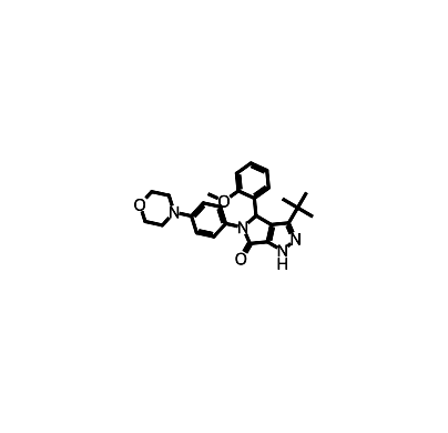 COc1ccccc1C1c2c(C(C)(C)C)n[nH]c2C(=O)N1c1ccc(N2CCOCC2)cc1